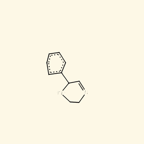 C1=NCCNC1c1ccccc1